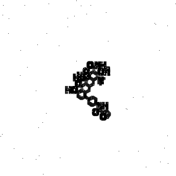 CN(C)C1C(O)=C(C(N)=O)C(=O)C2(O)C(O)=C3C(=O)c4c(O)ccc(-c5ccc(NC(=O)c6ccco6)cc5)c4CC3CC12